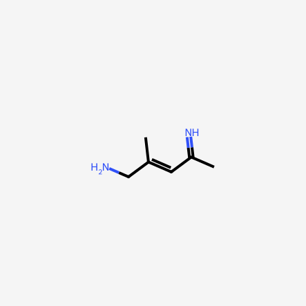 CC(=N)/C=C(\C)CN